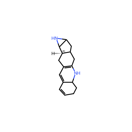 C1=CC2=CC3=C(CC4CC5NC5[C@@H]4C3)NC2CC1